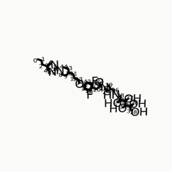 CCCc1cnc(N2CCC(CCCOc3cc(F)c(CC(=O)N4CC(CNCC(O)C(O)C(O)C(O)CO)C4)c(F)c3)CC2)nc1